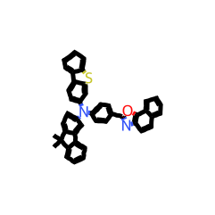 CC1(C)c2ccccc2-c2cc(N(c3ccc(-c4nc5ccc6ccccc6c5o4)cc3)c3ccc4c(c3)sc3ccccc34)ccc21